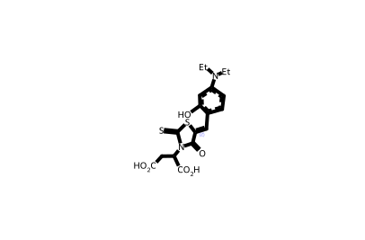 CCN(CC)c1ccc(/C=C2\SC(=S)N(C(CC(=O)O)C(=O)O)C2=O)c(O)c1